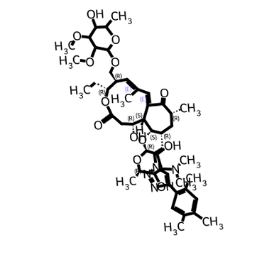 CC[C@H]1OC(=O)C[C@@H](O)[C@@H]2/C(=C\C(C)=C\[C@@H]1COC1OC(C)C(O)C(OC)C1OC)C(=O)[C@H](C)C[C@H](CCn1cc(-c3cc(C)c(C)cc3C)nn1)[C@@H]2O[C@@H]1O[C@H](C)C(O)C(N(C)C)C1O